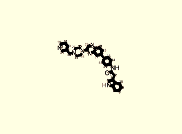 O=C(Cc1c[nH]c2ccccc12)Nc1ccc(-c2ccc3ncc(N4CCN(Cc5cccnc5)CC4)nc3c2)cc1